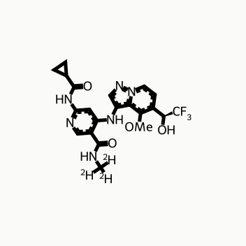 [2H]C([2H])([2H])NC(=O)c1cnc(NC(=O)C2CC2)cc1Nc1cnn2ccc([C@H](O)C(F)(F)F)c(OC)c12